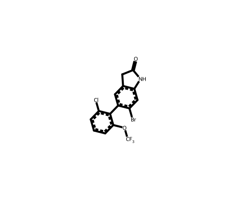 O=C1Cc2cc(-c3c(Cl)cccc3OC(F)(F)F)c(Br)cc2N1